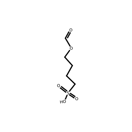 O=COCCCCS(=O)(=O)O